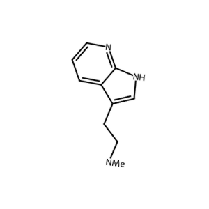 CNCCc1c[nH]c2ncccc12